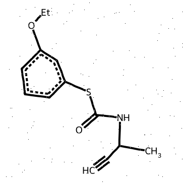 C#CC(C)NC(=O)Sc1cccc(OCC)c1